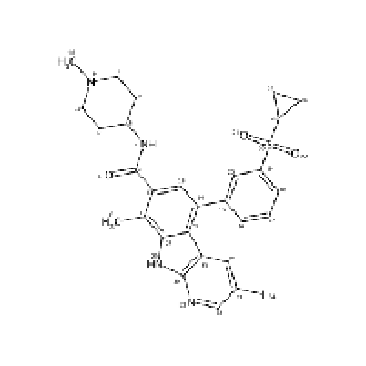 Cc1c(C(=O)NC2CCN(C)CC2)cc(-c2cccc(S(=O)(=O)C3CC3)c2)c2c1[nH]c1ncc(I)cc12